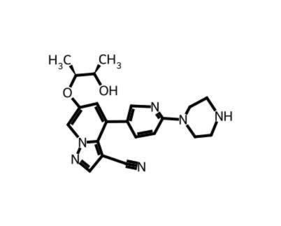 C[C@H](Oc1cc(-c2ccc(N3CCNCC3)nc2)c2c(C#N)cnn2c1)[C@@H](C)O